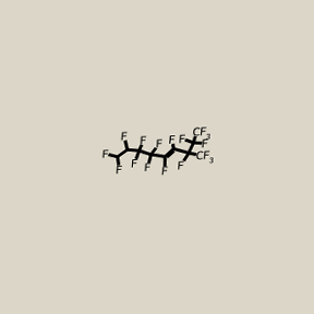 FC(=C(F)C(F)(C(F)(F)F)C(F)(F)C(F)(F)F)C(F)(F)C(F)(F)C(F)C(F)F